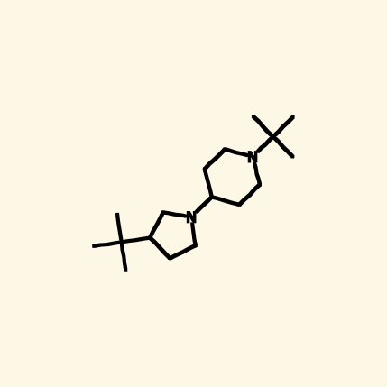 CC(C)(C)C1CCN(C2CCN(C(C)(C)C)CC2)C1